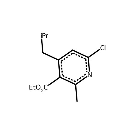 CCOC(=O)c1c(CC(C)C)cc(Cl)nc1C